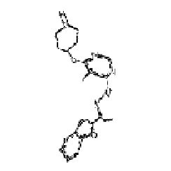 CC(=NOc1ncnc(OC2CCNCC2)c1C)c1cc2ccccc2o1